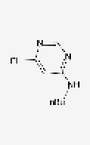 CCCCNc1cc(Cl)ncn1